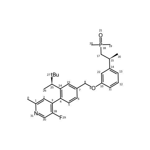 Cc1cc(-c2ccc(COc3cccc([C@H](C)CP(C)(C)=O)c3)cc2[C@@H](C)C(C)(C)C)c(F)cn1